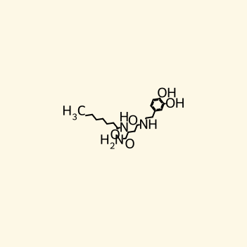 CCCCCCCC(=O)NC(CC(=O)NCCc1ccc(O)c(O)c1)C(N)=O